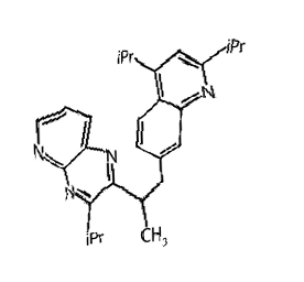 CC(C)c1cc(C(C)C)c2ccc(CC(C)c3nc4cccnc4nc3C(C)C)cc2n1